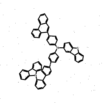 c1ccc(-n2c3ccccc3c3ccccc32)c(-c2ccc(-c3ccc(N(c4ccc(-c5cc6ccccc6c6ccccc56)cc4)c4ccc5sc6ccccc6c5c4)cc3)cc2)c1